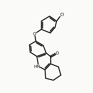 O=c1c2c([nH]c3ccc(Oc4ccc(Cl)cc4)cc13)CCCC2